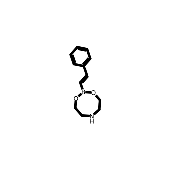 C(=Cc1ccccc1)B1OCCNCCO1